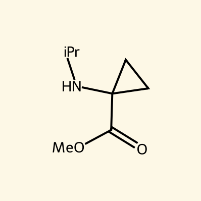 COC(=O)C1(NC(C)C)CC1